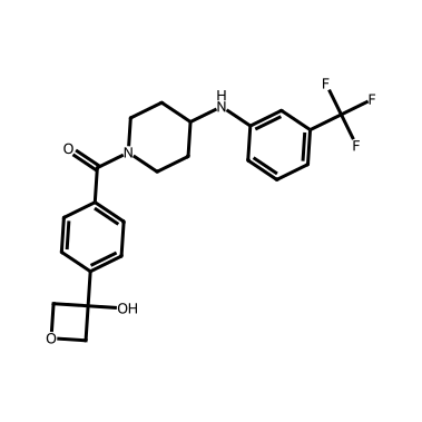 O=C(c1ccc(C2(O)COC2)cc1)N1CCC(Nc2cccc(C(F)(F)F)c2)CC1